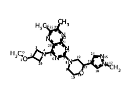 COC1CN(c2nc(N3CCOC(c4cnn(C)c4)C3)nc3nc(C)c(C)nc23)C1